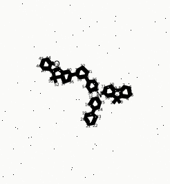 CC1(C)c2ccccc2-c2ccc(N(c3ccc(-c4ccccc4)cc3)c3ccc(-c4cccc(-c5ccc6c(c5)-c5oc7ccccc7c5C6(C)C)c4)cc3)cc21